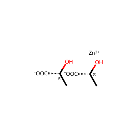 C[C@@H](O)C(=O)[O-].C[C@@H](O)C(=O)[O-].[Zn+2]